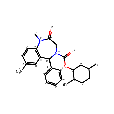 CC1CCC(C(C)C)C(OC(=O)N2CC(=O)N(C)c3ccc([N+](=O)[O-])cc3C2c2ccccc2)C1